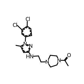 CC(=O)N1CCN(CCNc2cc(C)n(-c3ccc(Cl)c(Cl)c3)n2)CC1